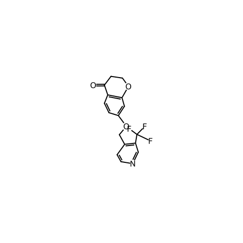 O=C1CCOc2cc(OCc3ccncc3C(F)(F)F)ccc21